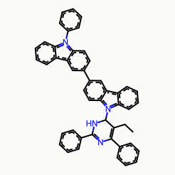 CCC1=C(c2ccccc2)N=C(c2ccccc2)NC1n1c2ccccc2c2cc(-c3ccc4c(c3)c3ccccc3n4-c3ccccc3)ccc21